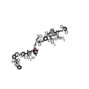 Cc1c(-c2ccc(N3CCc4cccc(C(=O)Nc5nc6ccccc6s5)c4C3)nc2C(=O)O)cnn1CC12CC3(C)CC(C)(C1)CC(SCCN(CCS(=O)(=O)O)C(=O)OCc1ccc(N(C(=O)[C@@H](NC(=O)CCCCCN4C(=O)C=CC4=O)C(C)C)[C@@H](CCCNC(N)=O)C(N)=O)cc1)(C3)C2